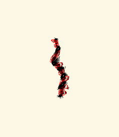 C=C(C)C(=O)OCOC(=O)C1CCC(OC(=O)C2CCC(C(=O)Oc3ccc(OC(=O)C4CCC(C(=O)OC5CCC(C(=O)OCOC(=O)C(=C)C)CC5)CC4)c(C)c3)CC2)CC1